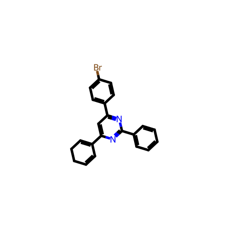 Brc1ccc(-c2cc(C3=CCCC=C3)nc(-c3ccccc3)n2)cc1